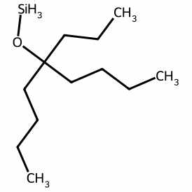 CCCCC(CCC)(CCCC)O[SiH3]